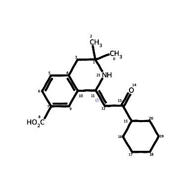 CC1(C)Cc2ccc(C(=O)O)cc2/C(=C/C(=O)C2CCCCC2)N1